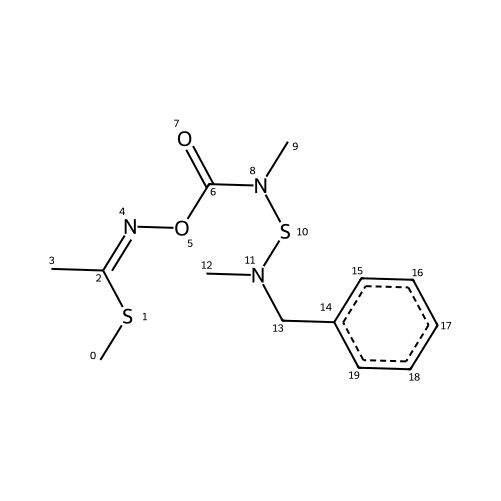 CSC(C)=NOC(=O)N(C)SN(C)Cc1ccccc1